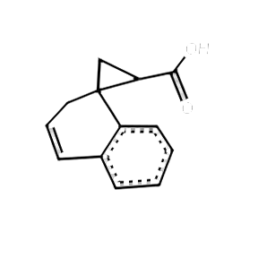 O=C(O)C1CC12CC=Cc1ccccc12